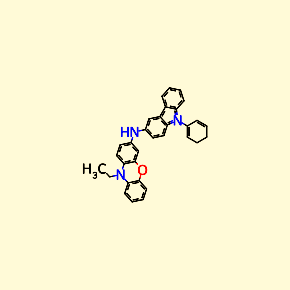 CCN1c2ccccc2Oc2cc(Nc3ccc4c(c3)c3ccccc3n4C3=CCCC=C3)ccc21